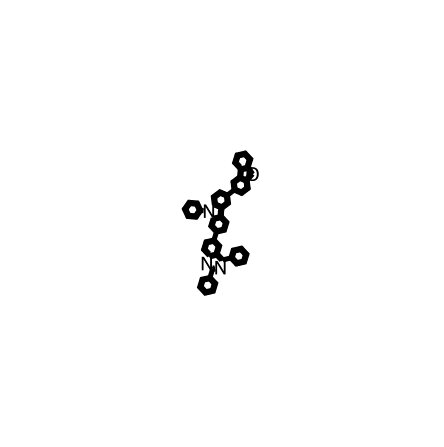 c1ccc(-c2nc(-c3ccccc3)c3cc(-c4ccc5c6cc(-c7ccc8oc9ccccc9c8c7)ccc6n(-c6ccccc6)c5c4)ccc3n2)cc1